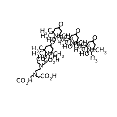 CC1(C)CC(=O)CC(C)(C)N1O.CC1(C)CC(=O)CC(C)(C)N1O.CC1(C)CC(=O)CC(C)(C)N1O.CC1(C)CC(=O)CC(C)(C)N1O.O=C(O)CN(CCN(CC(=O)O)CC(=O)O)CC(=O)O